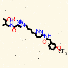 CC(O)C(C)CNC(=O)c1cn(CCCCc2ccc(NC(=O)Cc3cccc(OC(F)(F)F)c3)nn2)nn1